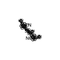 CC1=C(C#N)C(=O)N(C(=O)OCc2ccccc2)C(=O)/C1=C/C1=Cc2sc3c(sc4cc(/C=C5/C(=O)N(C(=O)OCc6ccccc6)C(=O)C(C#N)=C5C)sc43)c2C12CCCCC2